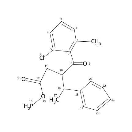 Cc1cccc(Cl)c1C(=O)C(CC(=O)OP)C(C)c1ccccc1